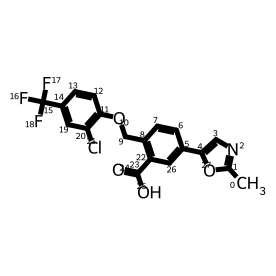 Cc1ncc(-c2ccc(COc3ccc(C(F)(F)F)cc3Cl)c(C(=O)O)c2)o1